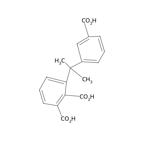 CC(C)(c1cccc(C(=O)O)c1)c1cccc(C(=O)O)c1C(=O)O